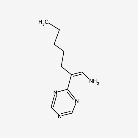 CCCCC/C(=C/N)c1ncncn1